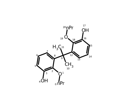 CCCOc1c(O)cccc1C(C)(C)c1cccc(O)c1OCCC